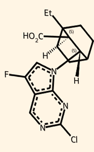 CCC12CCC(CC1)[C@H](n1cc(F)c3cnc(Cl)nc31)[C@H]2C(=O)O